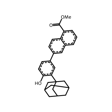 COC(=O)c1cccc2cc(-c3ccc(O)c(C45CC6CC(CC(C6)C4)C5)c3)ccc12